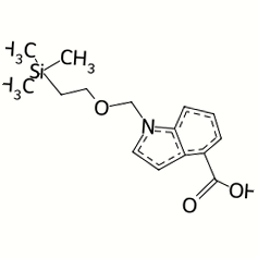 C[Si](C)(C)CCOCn1ccc2c(C(=O)O)cccc21